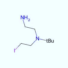 CC(C)(C)N(CCN)CCI